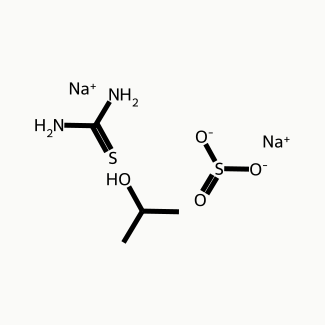 CC(C)O.NC(N)=S.O=S([O-])[O-].[Na+].[Na+]